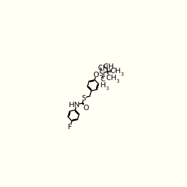 CC(C)(C)[Si](C)(C)Oc1ccc(CSC(=O)Nc2ccc(F)cc2)cc1